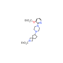 CCOC(=O)Oc1cccnc1N1CCN(C2CCC3(C2)CN(C(=O)OCC)C3)CC1